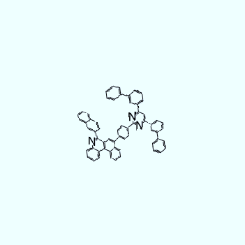 c1ccc(-c2cccc(-c3cc(-c4cccc(-c5ccccc5)c4)nc(-c4ccc(-c5cc6c(-c7ccc8ccccc8c7)nc7ccccc7c6c6ccccc56)cc4)n3)c2)cc1